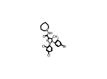 C[C@@H]1C(C(=O)NN2CCCCCCC2)=NN(c2ccc(Cl)cc2Cl)[C@@H]1c1ccc(Br)cc1